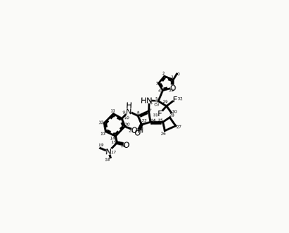 Cc1ccc([C@H](NC2=C(Nc3cccc(C(=O)N(C)C)c3O)C(=O)C2=C2CCC2)C(C)(F)F)o1